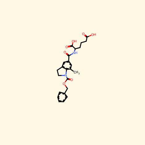 Cc1cc(C(=O)NC(CCCC(=O)O)C(=O)O)cc2c1N(C(=O)OCc1ccccc1)CC2